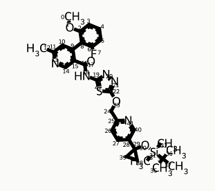 COc1cccc(F)c1-c1cc(C)ncc1C(=O)Nc1nnc(OCc2ccc(C3(O[Si](C)(C)C(C)(C)C)CC3)cn2)s1